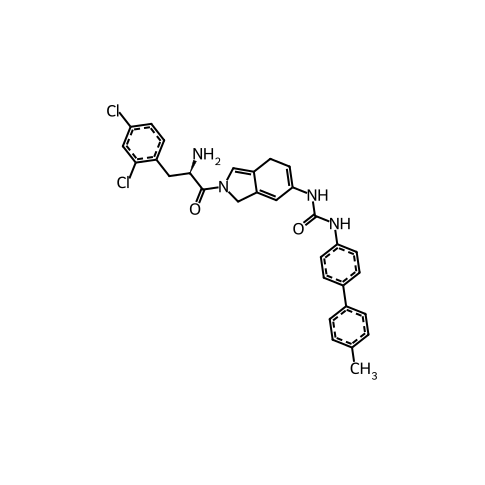 Cc1ccc(-c2ccc(NC(=O)NC3=CCC4=CN(C(=O)[C@H](N)Cc5ccc(Cl)cc5Cl)CC4=C3)cc2)cc1